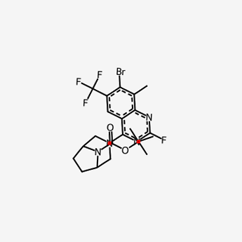 Cc1c(Br)c(C(F)(F)F)cc2c(N3CC4CCC(C3)N4C(=O)OC(C)(C)C)nc(F)nc12